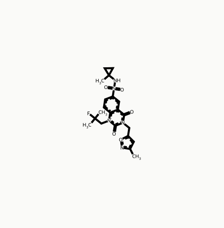 Cc1cc(Cn2c(=O)c3cc(S(=O)(=O)NC4(C)CC4)ccc3n(CC(C)(C)F)c2=O)on1